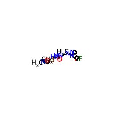 CN(C)Cc1ccc(CSCCNC(=O)NCCCN(C)CCN(Cc2ccc(F)cc2)c2ccccn2)o1